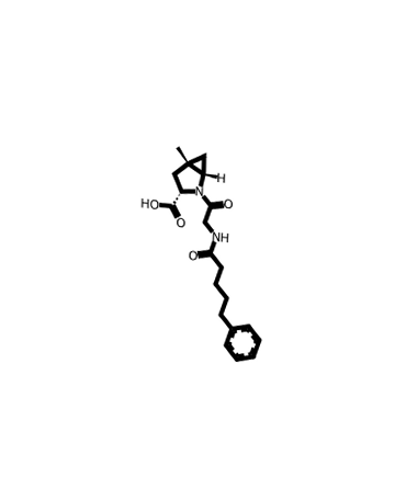 C[C@@]12C[C@@H]1N(C(=O)CNC(=O)CCCCc1ccccc1)[C@H](C(=O)O)C2